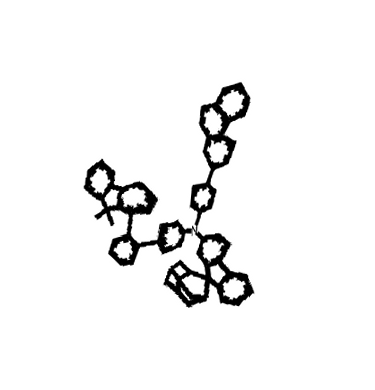 CC1(C)c2ccccc2-c2cccc(-c3ccccc3-c3ccc(N(c4ccc(-c5ccc6c(ccc7ccccc76)c5)cc4)c4ccc5c(c4)C4(c6ccccc6-5)C5CC6CC(C5)CC4C6)cc3)c21